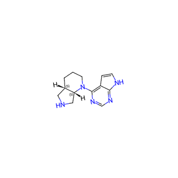 c1nc(N2CCC[C@H]3CNC[C@H]32)c2cc[nH]c2n1